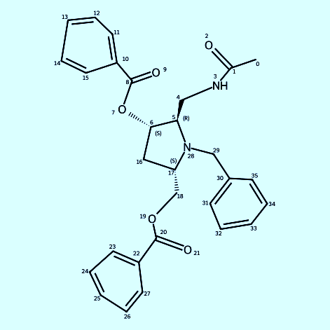 CC(=O)NC[C@@H]1[C@@H](OC(=O)c2ccccc2)C[C@@H](COC(=O)c2ccccc2)N1Cc1ccccc1